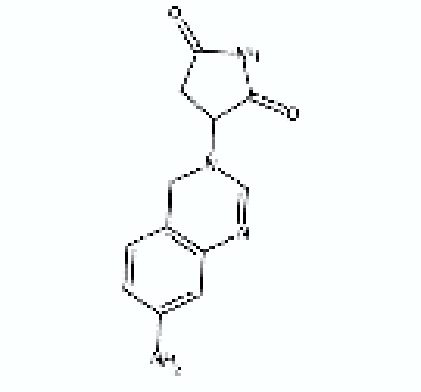 Nc1ccc2c(c1)N=CN(C1CC(=O)NC1=O)C2